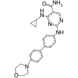 NC(=O)c1cnc(Nc2ccc(-c3ccc(N4CCOCC4)cc3)cc2)nc1NC1CC1